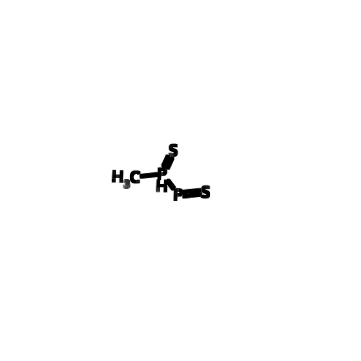 C[PH](=S)P=S